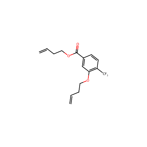 C=CCCOC(=O)c1ccc(C(F)(F)F)c(OCCC=C)c1